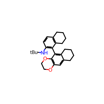 CC(C)(C)Nc1ccc2c(c1-c1c3c(cc4c1OCCO4)CCCC3)CCCC2